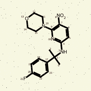 CC(C)(Nc1ccc([N+](=O)[O-])c(N2CCOCC2)n1)c1ccc(F)cc1